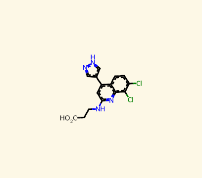 O=C(O)CCNc1cc(-c2cn[nH]c2)c2ccc(Cl)c(Cl)c2n1